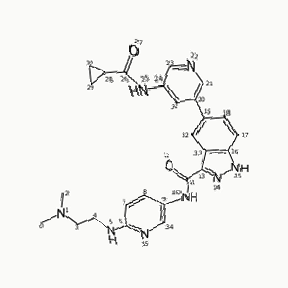 CN(C)CCNc1ccc(NC(=O)c2n[nH]c3ccc(-c4cncc(NC(=O)C5CC5)c4)cc23)cn1